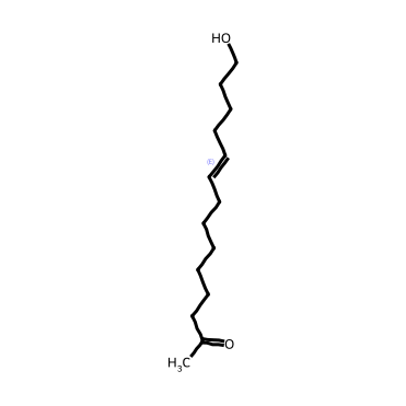 CC(=O)CCCCCC/C=C/CCCCO